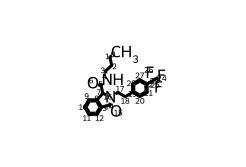 CCCCNC(=O)C1c2ccccc2C(=O)N1CCc1ccc(C(F)(F)F)cc1